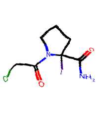 NC(=O)C1(I)CCCN1C(=O)CCl